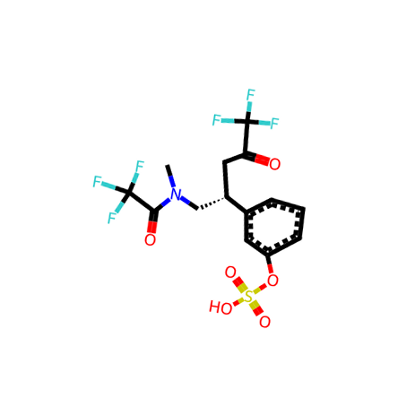 CN(C[C@H](CC(=O)C(F)(F)F)c1cccc(OS(=O)(=O)O)c1)C(=O)C(F)(F)F